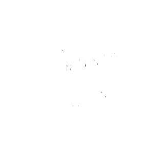 CC(C)Oc1cccc(CN2CC[C@]3(C=CC(=O)N3c3ccncc3)C[C@@H]2C)c1